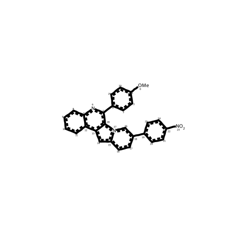 COc1ccc(-c2nc3ccccc3c3cc4ccc(-c5ccc([N+](=O)[O-])cc5)cn4c23)cc1